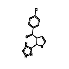 O=C(c1ccc(Cl)cc1)C1C=CSC1c1nnc[nH]1